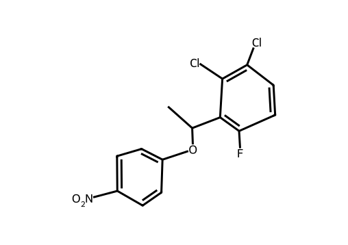 CC(Oc1ccc([N+](=O)[O-])cc1)c1c(F)ccc(Cl)c1Cl